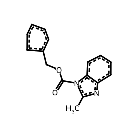 Cc1nc2ccccc2n1C(=O)OCc1ccccc1